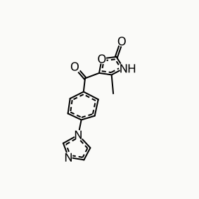 Cc1[nH]c(=O)oc1C(=O)c1ccc(-n2ccnc2)cc1